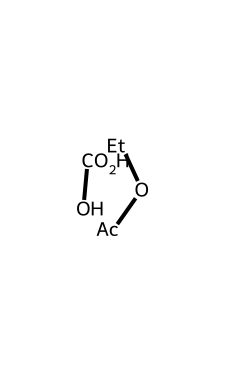 CCOC(C)=O.O=C(O)O